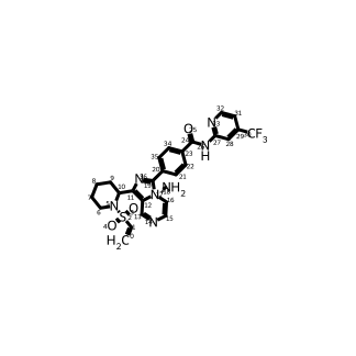 C=CS(=O)(=O)N1CCCCC1C1=C2C=NC=C[N+]2(N)C(c2ccc(C(=O)Nc3cc(C(F)(F)F)ccn3)cc2)=N1